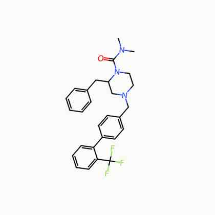 CN(C)C(=O)N1CCN(Cc2ccc(-c3ccccc3C(F)(F)F)cc2)CC1Cc1ccccc1